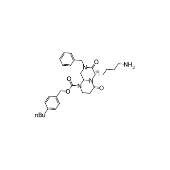 CCCCc1ccc(COC(=O)N2CCC(=O)N3C2CN(Cc2ccccc2)C(=O)[C@@H]3CCCCN)cc1